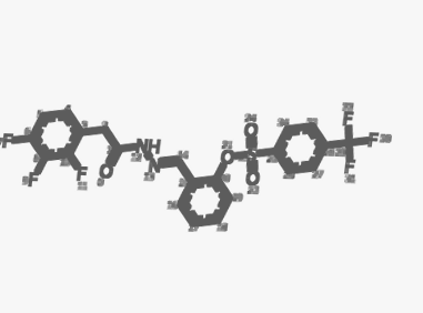 O=C(Cc1ccc(F)c(F)c1F)NN=Cc1ccccc1OS(=O)(=O)c1ccc(C(F)(F)F)cc1